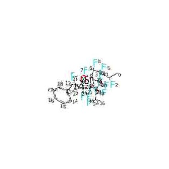 CC(F)C(F)(F)[C](F)(F)[Sn]([O]CCc1ccccc1)([C](F)(F)C(F)(F)C(C)F)[C](F)(F)C(F)(F)C(C)F